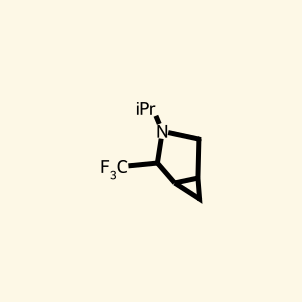 CC(C)N1CC2CC2C1C(F)(F)F